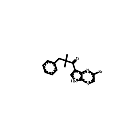 CC(C)(Cc1ccccc1)C(=O)c1c[nH]c2ncc(Br)nc12